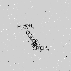 CCOCC(COc1ccc(OCCC[S+](C)C)cc1)OS(=O)(=O)c1ccc(C)cc1